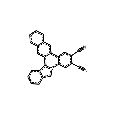 N#Cc1cc2c3cc4ccccc4cc3c3c4ccccc4cn3c2cc1C#N